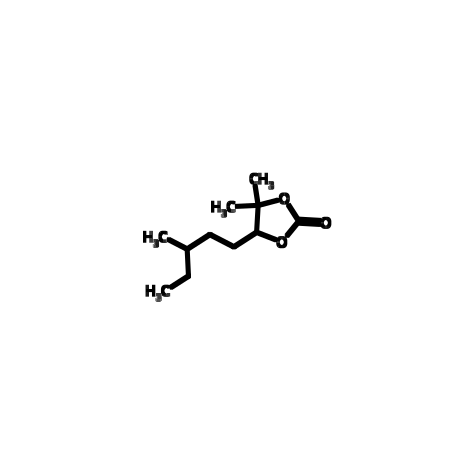 CCC(C)CCC1OC(=O)OC1(C)C